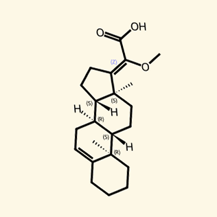 CO/C(C(=O)O)=C1/CC[C@H]2[C@@H]3CC=C4CCCC[C@]4(C)[C@H]3CC[C@]12C